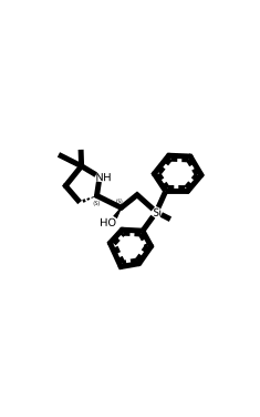 CC1(C)CC[C@@H]([C@H](O)C[Si](C)(c2ccccc2)c2ccccc2)N1